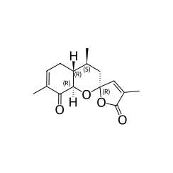 CC1=C[C@@]2(C[C@H](C)[C@H]3CC=C(C)C(=O)[C@@H]3O2)OC1=O